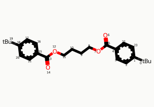 CC(C)(C)c1ccc(C(=O)OCCCCOC(=O)c2ccc(C(C)(C)C)cc2)cc1